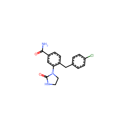 NC(=O)c1ccc(Cc2ccc(Cl)cc2)c(N2CCNC2=O)c1